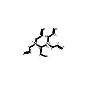 C=CCN(CC=C)C(CC)N(CC=C)CC=C